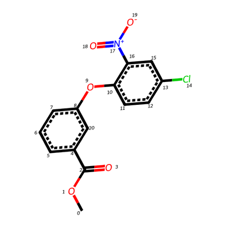 COC(=O)c1cccc(Oc2ccc(Cl)cc2[N+](=O)[O-])c1